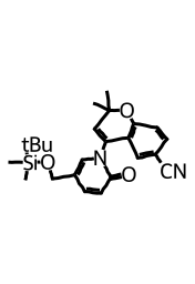 CC1(C)C=C(n2cc(CO[Si](C)(C)C(C)(C)C)ccc2=O)c2cc(C#N)ccc2O1